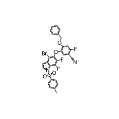 Cc1ccc(S(=O)(=O)n2ccc3c(Br)c(Oc4cc(C#N)c(F)cc4OCc4ccccc4)c(F)c(F)c32)cc1